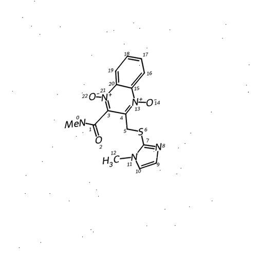 CNC(=O)c1c(CSc2nccn2C)[n+]([O-])c2ccccc2[n+]1[O-]